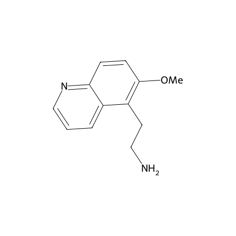 COc1ccc2ncccc2c1CCN